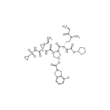 C=CC(=O)N(C)CC[C@H](NC(=O)OC1CCCC1)C(=O)N1C[C@H](OC(=O)N2Cc3cccc(F)c3C2)C[C@H]1C(=O)N[C@]1(C(=O)NS(=O)(=O)C2CC2)C[C@H]1C=C